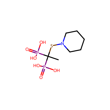 CC(SN1CCCCC1)(P(=O)(O)O)P(=O)(O)O